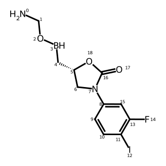 NCOBC[C@H]1CN(c2ccc(I)c(F)c2)C(=O)O1